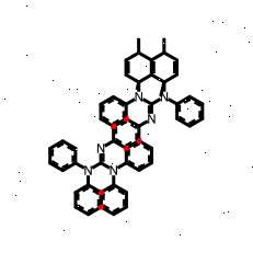 CC1C=CC2(C)C3=C1C(C)C=CC3(C)N(c1ccccc1)C(=Nc1ccc(N=C(N(c3ccccc3)c3ccccc3)N(c3ccccc3)c3ccccc3)cc1)N2c1ccccc1